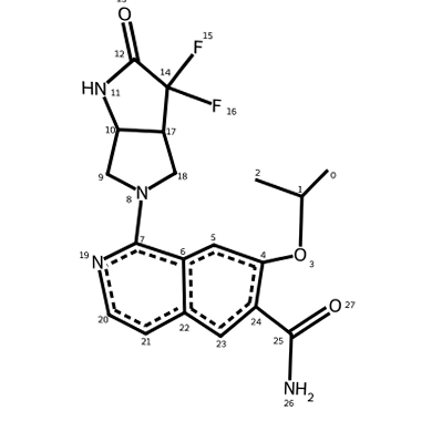 CC(C)Oc1cc2c(N3CC4NC(=O)C(F)(F)C4C3)nccc2cc1C(N)=O